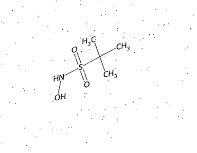 CC(C)(C)S(=O)(=O)NO